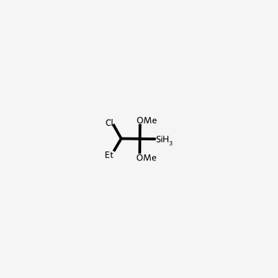 CCC(Cl)C([SiH3])(OC)OC